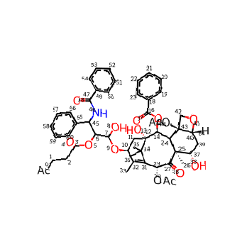 CC(=O)CCC(=O)OC(C(O)O[C@H]1C[C@@]2(O)[C@@H](OC(=O)c3ccccc3)C3[C@](C)(C(=O)[C@H](OC(C)=O)C(=C1C)C2(C)C)[C@@H](O)C[C@H]1OC[C@@]31OC(C)=O)C(NC(=O)c1ccccc1)c1ccccc1